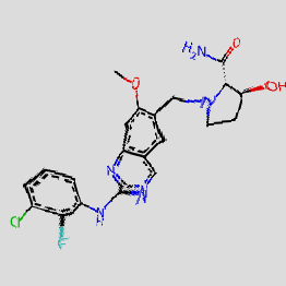 COc1cc2nc(Nc3cccc(Cl)c3F)ncc2cc1CN1CC[C@H](O)[C@H]1C(N)=O